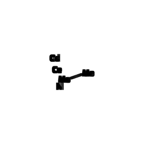 [Ce].[Gd].[Mo][Mo].[Ni]